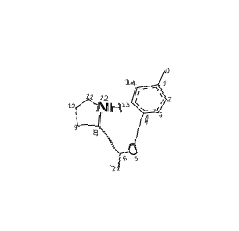 [CH2]c1ccc(OC(C)C2CCCN2)cc1